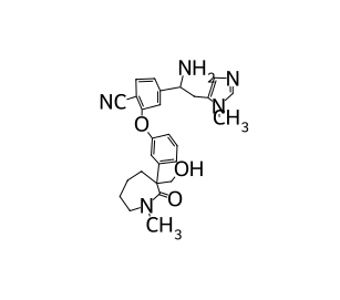 CN1CCCCC(CO)(c2cccc(Oc3cc(C(N)Cc4cncn4C)ccc3C#N)c2)C1=O